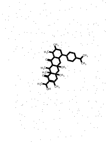 CC1=C(C(C)O)C(=O)C2(C)C(C)C3C(=O)C4C(C)C(C)CC(C5CCC(C(C)C)CC5)C4CC3(C)CC2(C)C1